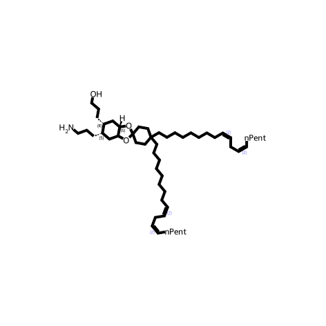 CCCCC/C=C\C/C=C\CCCCCCCCC1(CCCCCCCC/C=C\C/C=C\CCCCC)CCC2(CC1)OC1C[C@H](CCCN)[C@H](CCCO)C[C@@H]1O2